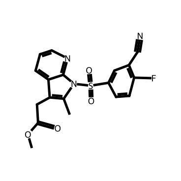 COC(=O)Cc1c(C)n(S(=O)(=O)c2ccc(F)c(C#N)c2)c2ncccc12